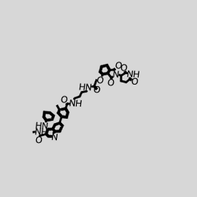 CNC(=O)c1cnc2ccc(-c3ccc(C(=O)NCCCCNC(=O)COc4cccc5c4C(=O)N(C4CCC(=O)NC4=O)C5=O)c(C)c3)cc2c1Nc1ccccc1